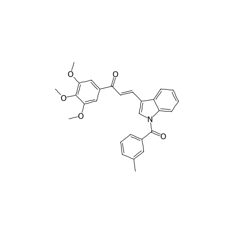 COc1cc(C(=O)/C=C/c2cn(C(=O)c3cccc(C)c3)c3ccccc23)cc(OC)c1OC